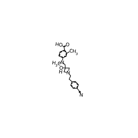 Cc1cc(N(C)CC2(O)CN(CCc3ccc(C#N)cc3)C2)ccc1C(=O)O